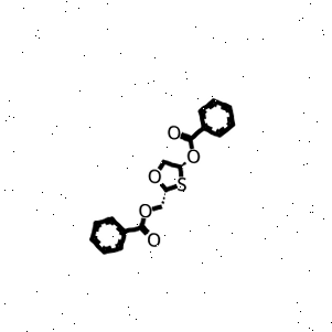 O=C(OC[C@@H]1OC[C@H](OC(=O)c2ccccc2)S1)c1ccccc1